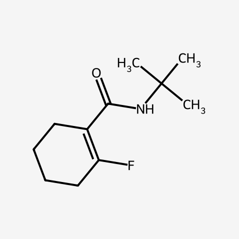 CC(C)(C)NC(=O)C1=C(F)CCCC1